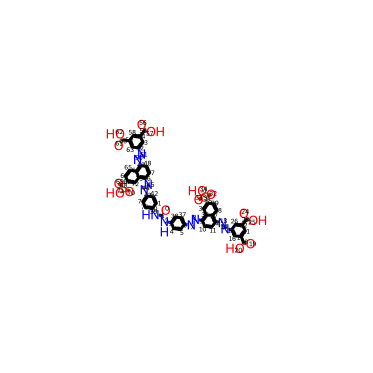 O=C(Nc1ccc(N=Nc2ccc(N=Nc3cc(C(=O)O)cc(C(=O)O)c3)c3ccc(S(=O)(=O)O)cc23)cc1)Nc1ccc(N=Nc2ccc(N=Nc3cc(C(=O)O)cc(C(=O)O)c3)c3ccc(S(=O)(=O)O)cc23)cc1